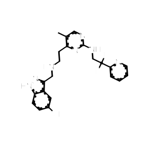 Cc1cnc(NCC(F)(F)c2ccccn2)nc1CCNCc1n[nH]c2ccc(Cl)cc12